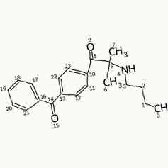 CCCCNC(C)(C)C(=O)c1ccc(C(=O)c2ccccc2)cc1